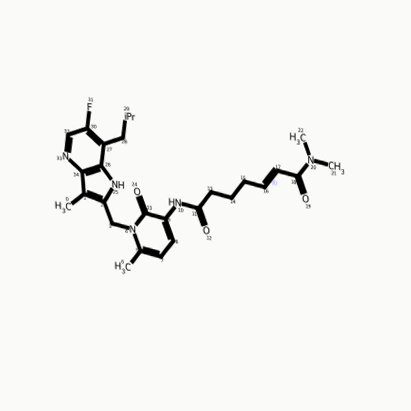 Cc1c(Cn2c(C)ccc(NC(=O)CCC/C=C/C(=O)N(C)C)c2=O)[nH]c2c(CC(C)C)c(F)cnc12